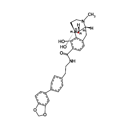 CN1CC[C@]23C[C@@H](O)C=C[C@H]2[C@H]1Cc1ccc(C(=O)NCCc2ccc(-c4ccc5c(c4)OCO5)cc2)c(O)c13